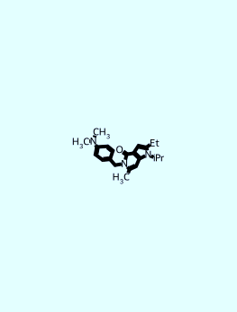 CCc1cc2c(=O)n(Cc3ccc(N(C)C)cc3)c(C)cc2n1C(C)C